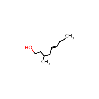 CCCC=CCC(C)CCO